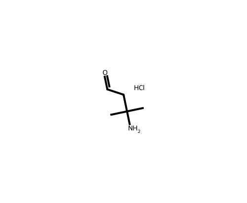 CC(C)(N)CC=O.Cl